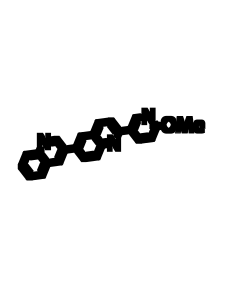 COc1ccc(-c2ccc3cc(-c4cnc5ccccc5c4)ccc3n2)cn1